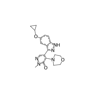 Cn1ncc(-c2n[nH]c3ccc(OC4CC4)cc23)c(N2CCOCC2)c1=O